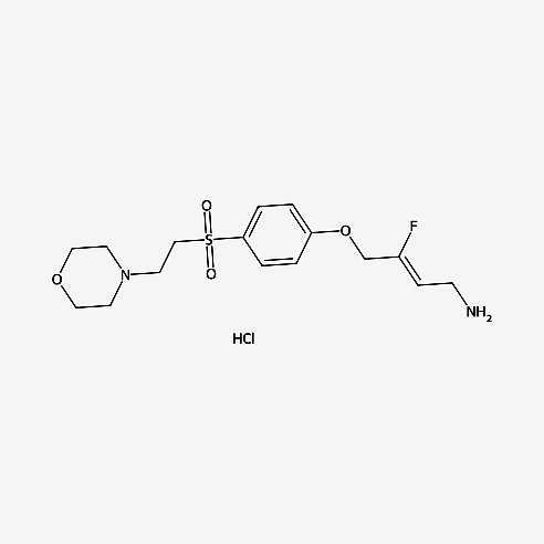 Cl.NCC=C(F)COc1ccc(S(=O)(=O)CCN2CCOCC2)cc1